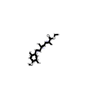 CCOC(=O)/C(C)=C/C=C(C)/C=C/c1cc(C)c(OC)cc1C